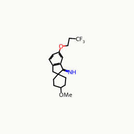 COC1CCC2(CC1)Cc1ccc(OCCC(F)(F)F)cc1C2=N